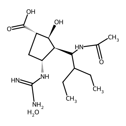 CCC(CC)C(NC(C)=O)[C@@H]1[C@H](O)[C@@H](C(=O)O)C[C@H]1NC(=N)N.O